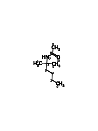 CCCCC(C)(C)NC(C)=O